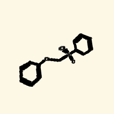 O=S(=O)(COc1[c]cccc1)c1ccccc1